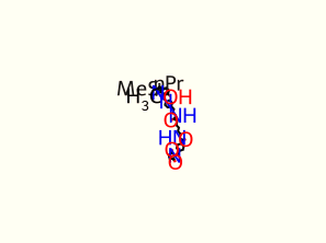 CCCc1c(SC)n(C)c2c(CN3CCC(CCNC(=O)CCCCCNC(=O)C4CCC(CN5C(=O)C=CC5=O)CC4)CC3)c(O)ccc12